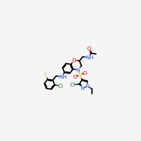 CCn1cc(S(=O)(=O)N2CC(CNC(C)=O)Oc3ccc(NCc4c(F)cccc4Cl)cc32)c(Cl)n1